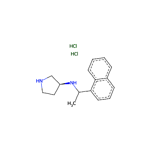 CC(N[C@H]1CCNC1)c1cccc2ccccc12.Cl.Cl